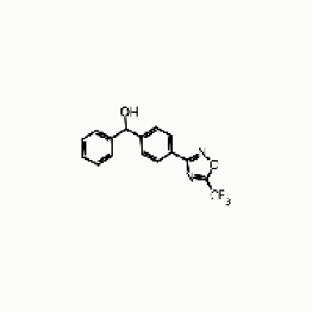 OC(c1ccccc1)c1ccc(-c2noc(C(F)(F)F)n2)cc1